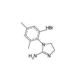 Br.Cc1cc(C)c(N2CCN=C2N)c(C)c1